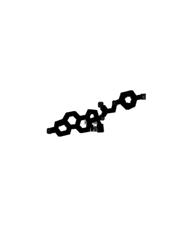 C#C[C@]1(OC(=O)COc2ccc(Cl)cc2)CCC2C3CCC4=CC(=O)CCC4C3CC[C@@]21CC